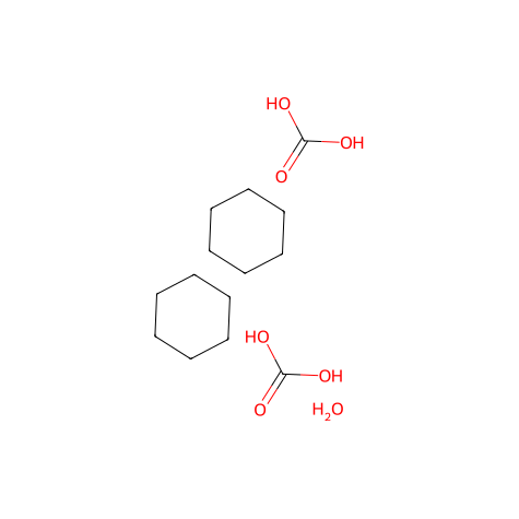 C1CCCCC1.C1CCCCC1.O.O=C(O)O.O=C(O)O